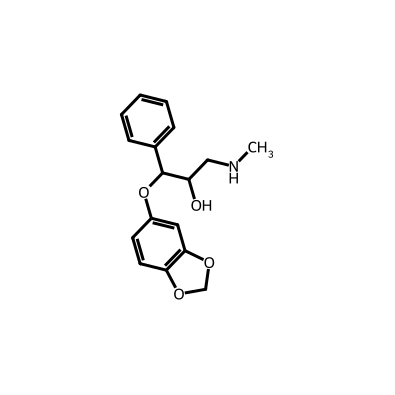 CNCC(O)C(Oc1ccc2c(c1)OCO2)c1ccccc1